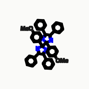 COc1ccc(C2(C3(c4ccc(OC)cc4)N=C(c4ccccc4)C(c4ccccc4)=N3)N=C(c3ccccc3)C(c3ccccc3)=N2)cc1